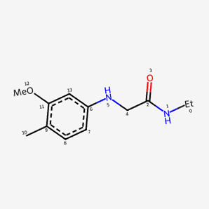 CCNC(=O)CNc1ccc(C)c(OC)c1